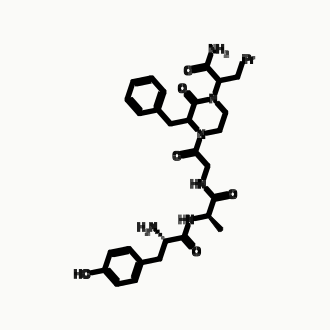 CC(C)CC(C(N)=O)N1CCN(C(=O)CNC(=O)[C@@H](C)NC(=O)[C@@H](N)Cc2ccc(O)cc2)C(Cc2ccccc2)C1=O